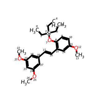 CC[Si](CC)(CC)Oc1ccc(OC)cc1C=Cc1cc(OC)cc(OC)c1